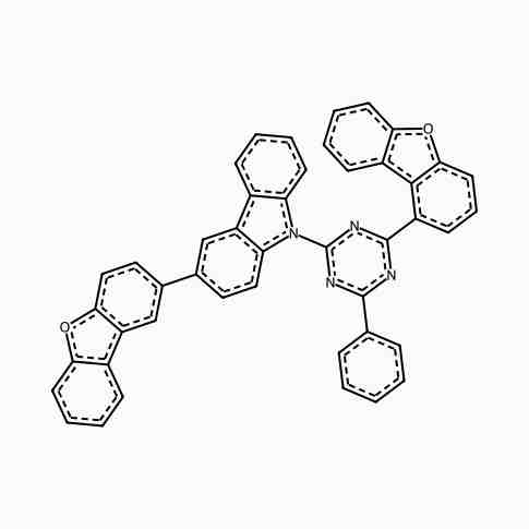 c1ccc(-c2nc(-c3cccc4oc5ccccc5c34)nc(-n3c4ccccc4c4cc(-c5ccc6oc7ccccc7c6c5)ccc43)n2)cc1